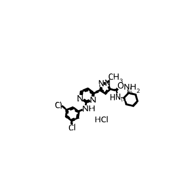 Cl.Cn1nc(-c2ccnc(Nc3cc(Cl)cc(Cl)c3)n2)cc1C(=O)N[C@H]1CCCC[C@H]1N